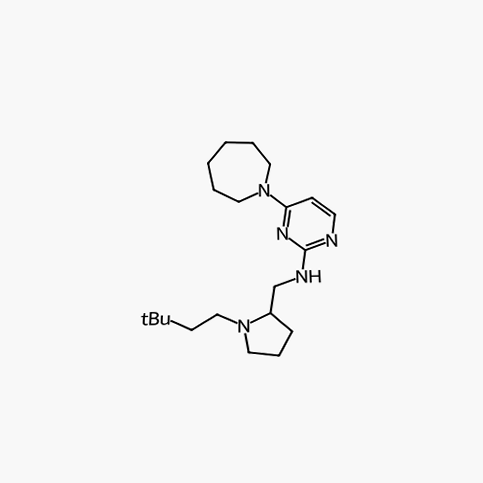 CC(C)(C)CCN1CCCC1CNc1nccc(N2CCCCCC2)n1